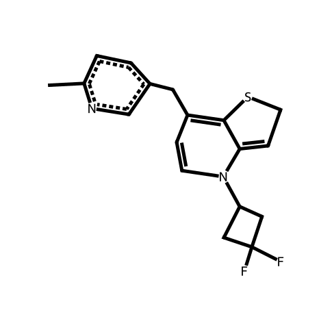 Cc1ccc(CC2=C3SCC=C3N(C3CC(F)(F)C3)C=C2)cn1